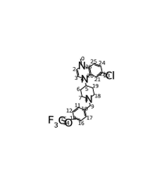 CN1C=CN(C2CCN(Cc3ccc(OC(F)(F)F)cc3)CC2)c2cc(Cl)ccc21